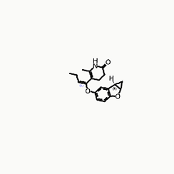 CC/C=C(/Oc1ccc2c(c1)[C@H]1CC1O2)C1=C(C)NC(=O)CC1